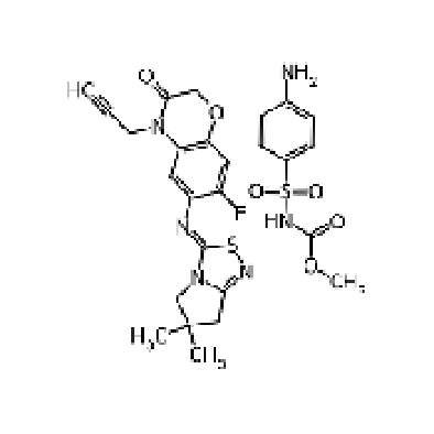 C#CCN1C(=O)COc2cc(F)c(/N=c3\snc4n3CC(C)(C)C4)cc21.COC(=O)NS(=O)(=O)c1ccc(N)cc1